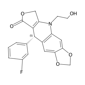 O=C1OCC2=C1[C@@H](c1cccc(F)c1)c1cc3c(cc1N2CCO)OCO3